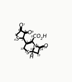 O=C(O)C1=C(C2SCC(=O)C2=O)CS[C@H]2CC(=O)N12